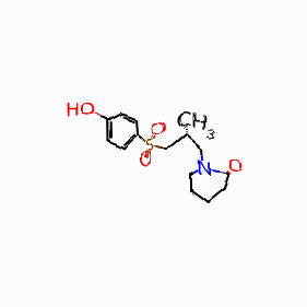 C[C@H](CN1CCCCC1=O)CS(=O)(=O)c1ccc(O)cc1